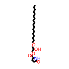 CCCCCCCCCCCCCCCCCCOCC(O)COC(=O)[C@@H]1CCC(=O)N1